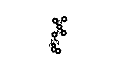 c1ccc(-n2c3ccccc3c3cc4c(cc32)c2ccccc2n4-c2cccc(-c3cnc4c(n3)oc3ccc5ccccc5c34)c2)cc1